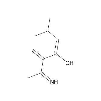 C=C(C(C)=N)/C(O)=C\C(C)C